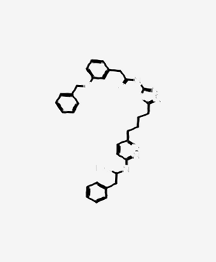 O=C(Cc1cccc(OCc2ccccc2)c1)Nc1nnc(CCCCc2ccc(NC(O)Cc3ccccc3)nn2)s1